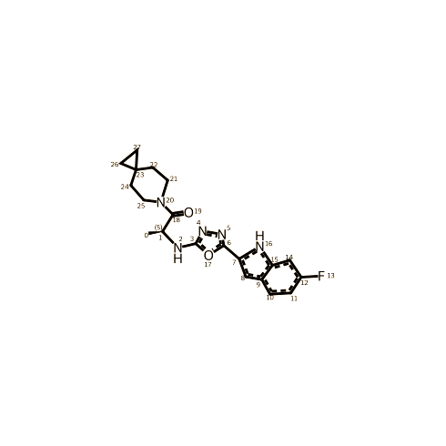 C[C@H](Nc1nnc(-c2cc3ccc(F)cc3[nH]2)o1)C(=O)N1CCC2(CC1)CC2